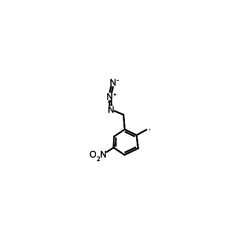 [CH2]c1ccc([N+](=O)[O-])cc1CN=[N+]=[N-]